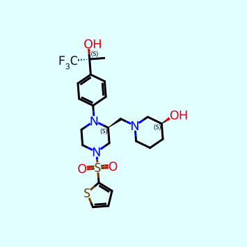 C[C@](O)(c1ccc(N2CCN(S(=O)(=O)c3cccs3)C[C@@H]2CN2CCC[C@H](O)C2)cc1)C(F)(F)F